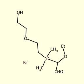 CCOC(C=O)[N+](C)(C)CCOCCO.[Br-]